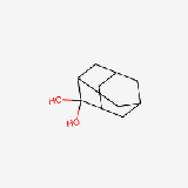 OC1(O)C2CC3CC(C2)CC1C3